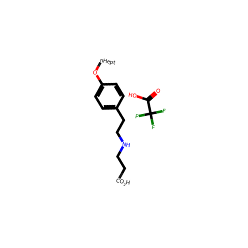 CCCCCCCOc1ccc(CCNCCC(=O)O)cc1.O=C(O)C(F)(F)F